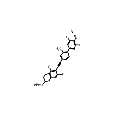 CCCCCC1CCc2c(cc(F)c(C#Cc3ccc(-c4cc(F)c(N=C=S)c(F)c4)c(C)c3)c2F)C1